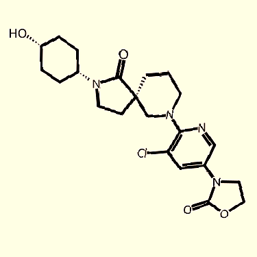 O=C1OCCN1c1cnc(N2CCC[C@@]3(CCN([C@H]4CC[C@@H](O)CC4)C3=O)C2)c(Cl)c1